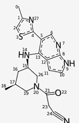 Cc1csc(-c2cnc3[nH]ccc3c2N[C@@H]2C[C@H](C)CN(C(=O)CC#N)C2)n1